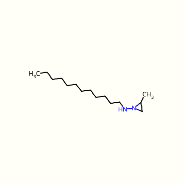 CCCCCCCCCCCCNN1CC1C